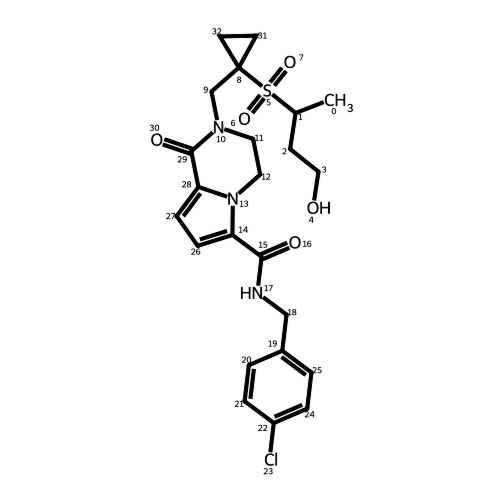 CC(CCO)S(=O)(=O)C1(CN2CCn3c(C(=O)NCc4ccc(Cl)cc4)ccc3C2=O)CC1